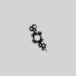 Nc1ncnc2c1ncn2[C@@H]1C[C@@H]2COP(=O)(O)O[C@@H]3[C@H](F)[C@@H](COP(=O)(S)O[C@H]21)O[C@H]3n1cnc2c(N)ncnc21